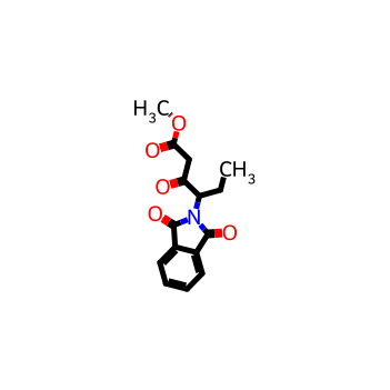 CCC(C(=O)CC(=O)OC)N1C(=O)c2ccccc2C1=O